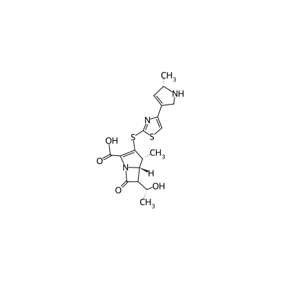 C[C@H]1C=C(c2csc(SC3=C(C(=O)O)N4C(=O)C([C@@H](C)O)[C@H]4[C@H]3C)n2)CN1